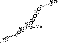 C=CC(=O)OCCCCCCOc1ccc(C(=O)OC2CCC(C(=O)Oc3ccc(OC(=O)C4CCC(OC(=O)c5ccc(OCCCCCCOC(=O)C=C)cc5)CC4)c(C(=O)OC)c3)CC2)cc1